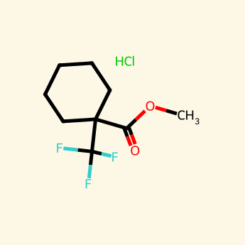 COC(=O)C1(C(F)(F)F)CCCCC1.Cl